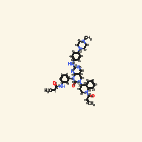 C=CC(=O)Nc1cccc(N2C(=O)N(C3CCN(C(=O)C=C)c4ccccc43)Cc3cnc(Nc4ccc(N5CCN(C)CC5)cc4)nc32)c1